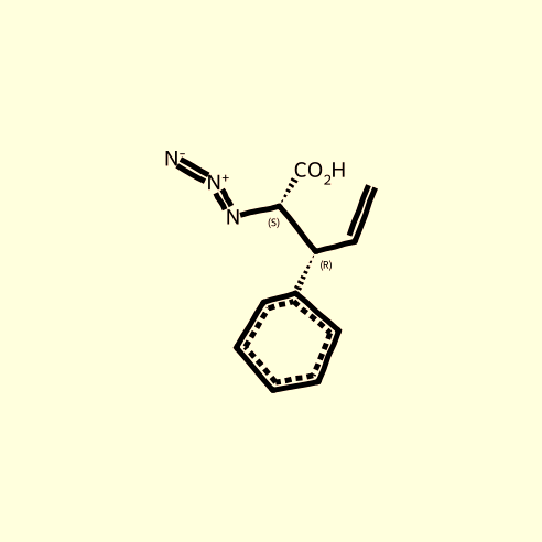 C=C[C@H](c1ccccc1)[C@H](N=[N+]=[N-])C(=O)O